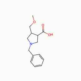 COCC1CN(Cc2ccccc2)CC1C(=O)O